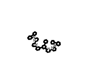 c1ccc(-c2cc(-c3cccc(-c4cccc(-c5cccc(-n6c7ccccc7c7ccccc76)n5)n4)c3)cc(-c3cccc(-c4cccc(-n5c6ccccc6c6ccccc65)n4)n3)c2)cc1